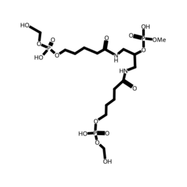 COP(=O)(O)OC(CNC(=O)CCCCOP(=O)(O)OCO)CNC(=O)CCCCOP(=O)(O)OCO